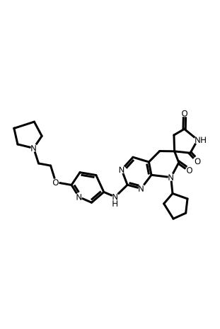 O=C1CC2(Cc3cnc(Nc4ccc(OCCN5CCCC5)nc4)nc3N(C3CCCC3)C2=O)C(=O)N1